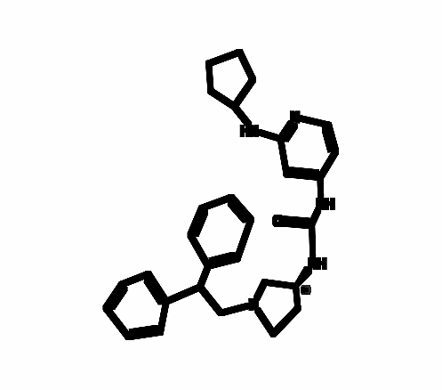 O=C(Nc1ccnc(NC2CCCC2)c1)N[C@H]1CCN(CC(c2ccccc2)c2ccccc2)C1